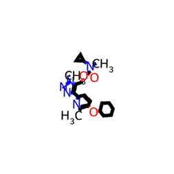 Cc1nc(-c2nnn(C)c2COC(=O)N(C)C2CC2)ccc1OC1CCCCC1